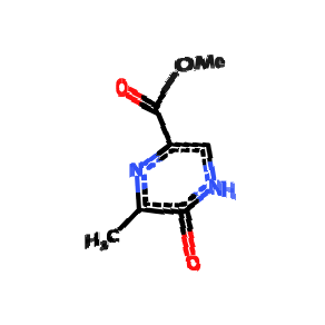 COC(=O)c1c[nH]c(=O)c(C)n1